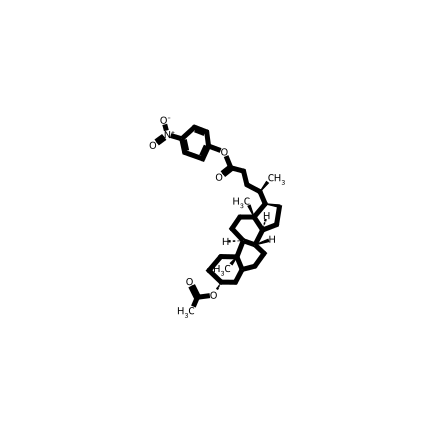 CC(=O)O[C@@H]1CC[C@@]2(C)C(CC[C@H]3[C@@H]4CC[C@H]([C@H](C)CCC(=O)Oc5ccc([N+](=O)[O-])cc5)[C@@]4(C)CC[C@@H]32)C1